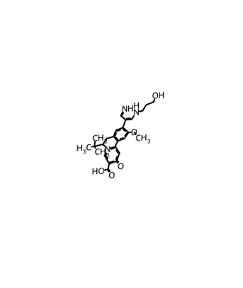 COc1cc2c(cc1/C(C=N)=C/NCCCO)CC(C(C)(C)C)n1cc(C(=O)O)c(=O)cc1-2